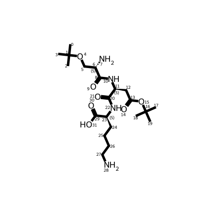 CC(C)(C)OC[C@H](N)C(=O)N[C@@H](CC(=O)OC(C)(C)C)C(=O)N[C@@H](CCCCN)C(=O)O